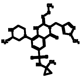 CON=c1[nH]c2c(N3CCN[C@H](C)C3)cc(S(=O)(=O)NC3(C)CC3)cc2c(=O)n1Cc1cnn(C)c1